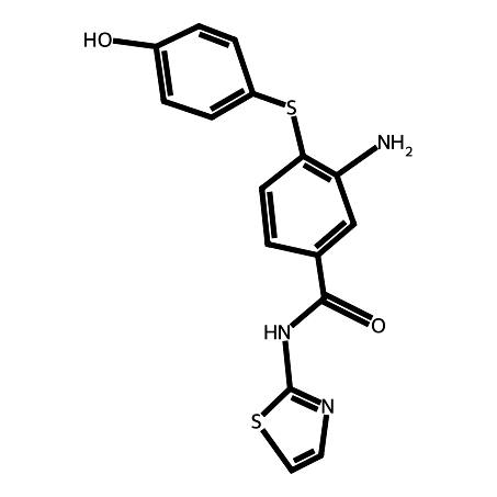 Nc1cc(C(=O)Nc2nccs2)ccc1Sc1ccc(O)cc1